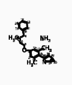 Cc1cc(OCCN(C)Cc2ccccc2)cc(C)c1-c1cc2cc-2n1.N